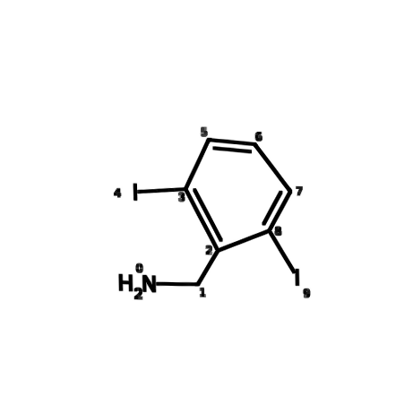 NCc1c(I)cccc1I